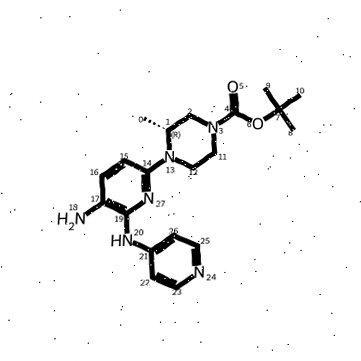 C[C@@H]1CN(C(=O)OC(C)(C)C)CCN1c1ccc(N)c(Nc2ccncc2)n1